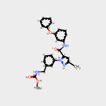 Cc1cc(C(=O)Nc2cccc(Oc3ccccc3)c2)n(-c2cccc(CNC(=O)OC(C)(C)C)c2)n1